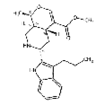 CCCc1c([C@H]2C[C@H]3C(C(=O)OC)=CO[C@H](C)[C@@H]3CN2)[nH]c2ccccc12